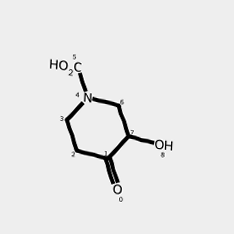 O=C1CCN(C(=O)O)CC1O